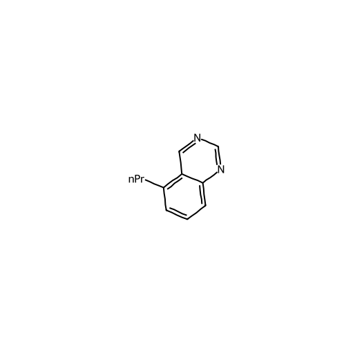 CCCc1cccc2ncncc12